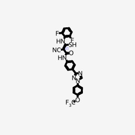 N#C/C(C(=O)Nc1ccc(-c2ncn(-c3ccc(OC(F)(F)F)cc3)n2)cc1)=C(/S)Nc1c(F)cccc1F